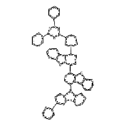 c1ccc(-c2ccc3c(c2)c2ccccc2n3-c2ccc(-c3ccc(-c4cccc(-c5nc(-c6ccccc6)nc(-c6ccccc6)n5)c4)c4c3oc3ccccc34)c3oc4ccccc4c23)cc1